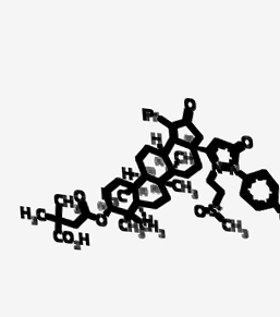 CC(C)C1=C2[C@H]3CC[C@@H]4[C@@]5(C)CC[C@H](OC(=O)CC(C)(C)C(=O)O)C(C)(C)[C@@H]5CC[C@@]4(C)[C@]3(C)CC[C@@]2(c2cc(=O)n(-c3ccc(Cl)cc3)n2CC[S+](C)[O-])CC1=O